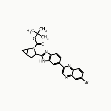 CC(C)(C)OC(=O)N1C(c2nc3ccc(-c4cnc5cc(Br)ccc5n4)cc3[nH]2)CC2CC21